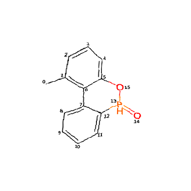 Cc1cccc2c1-c1ccccc1[PH](=O)O2